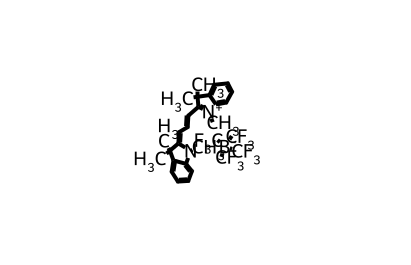 CN1/C(=C\C=C\C2=[N+](C)c3ccccc3C2(C)C)C(C)(C)c2ccccc21.FC(F)(F)[B-](C(F)(F)F)(C(F)(F)F)C(F)(F)F